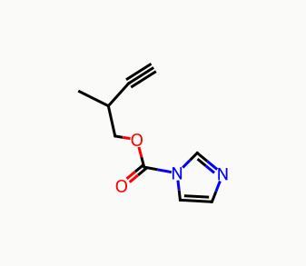 C#CC(C)COC(=O)n1ccnc1